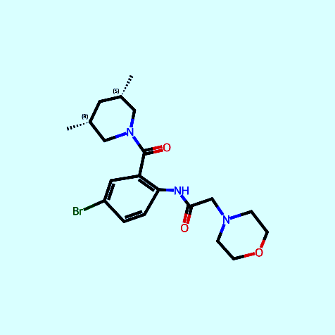 C[C@@H]1C[C@H](C)CN(C(=O)c2cc(Br)ccc2NC(=O)CN2CCOCC2)C1